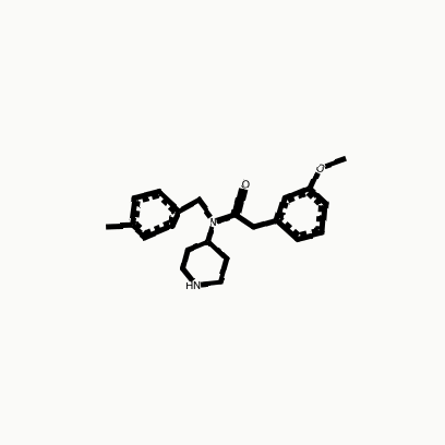 COc1cccc(CC(=O)N(Cc2ccc(C)cc2)C2CCNCC2)c1